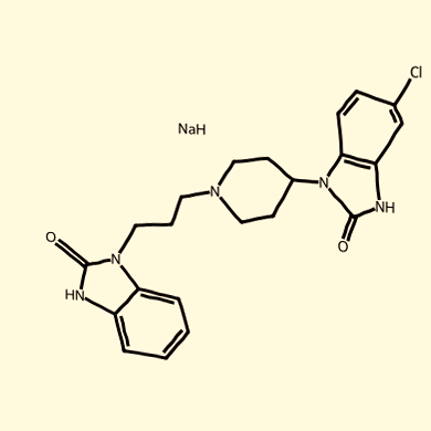 O=c1[nH]c2ccccc2n1CCCN1CCC(n2c(=O)[nH]c3cc(Cl)ccc32)CC1.[NaH]